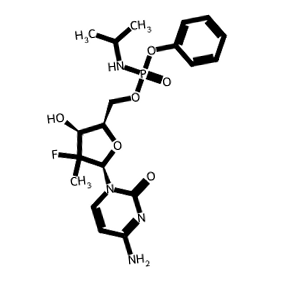 CC(C)NP(=O)(OC[C@H]1O[C@@H](n2ccc(N)nc2=O)C(C)(F)[C@H]1O)Oc1ccccc1